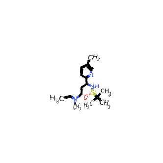 CCN(C)CCC(N[S@+]([O-])C(C)(C)C)c1ccc(C)cn1